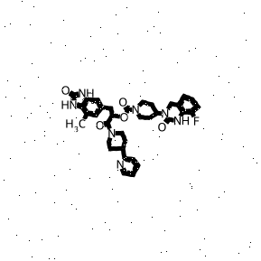 Cc1cc(CC(OC(=O)N2CCC(N3Cc4cccc(F)c4NC3=O)CC2)C(=O)N2CCC(c3ccccn3)CC2)cc2[nH]c(=O)[nH]c12